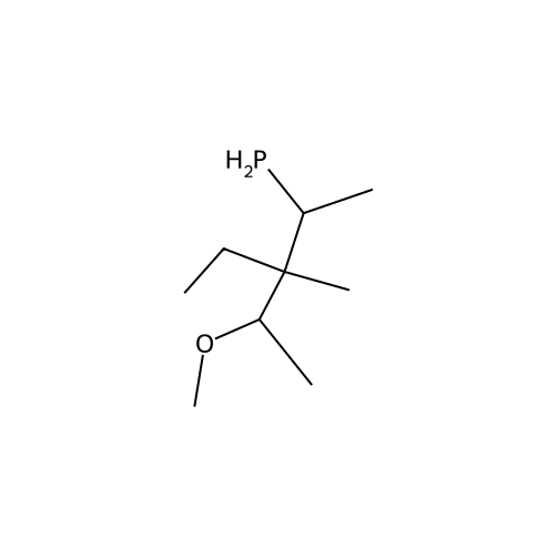 CCC(C)(C(C)P)C(C)OC